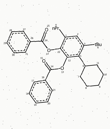 CCCc1cc(C(C)(C)C)c(C2CCCCC2)c(OC(=O)c2ccccc2)c1OC(=O)c1ccccc1